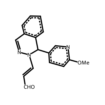 COc1ccc(C2c3ccccc3C=NN2C=CC=O)cn1